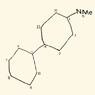 CNC1CCC(C2CCCCC2)CC1